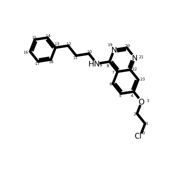 ClCCOc1ccc2c(NCCCc3ccccc3)ncnc2c1